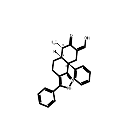 C[C@@H]1C(=O)C(=CO)C[C@]2(c3ccccc3)c3n[nH]c(-c4ccccc4)c3CC[C@@H]12